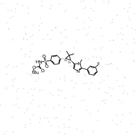 Cn1c([C@H]2[C@H](c3ccc(S(=O)(=O)NC(=O)OC(C)(C)C)cc3)C2(C)C)cnc1-c1cccc(F)c1